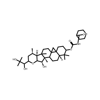 C[C@@H]1CC(C(O)C(C)(C)O)OC2[C@H]1C1(C)CCC34CC35CCC(OC(=O)NC3CN6CCC3CC6)C(C)(C)[C@@H]5CCC4[C@]1(C)[C@H]2O